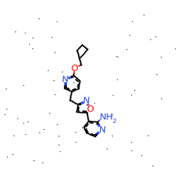 Nc1ncccc1-c1cc(Cc2ccc(OCC3CCC3)nc2)no1